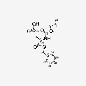 C=CCOC(=O)N[C@H](CCC(=O)O)C(=O)OCc1ccccc1